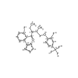 CCN(C(=O)c1c(F)cccc1-n1nccn1)C(C)COc1ncc(C(F)(F)F)cc1F